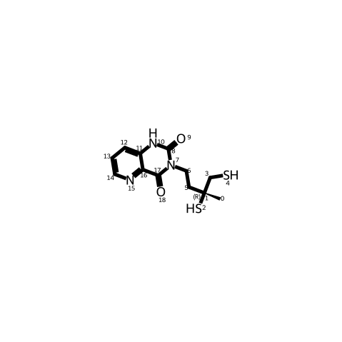 C[C@](S)(CS)CCn1c(=O)[nH]c2cccnc2c1=O